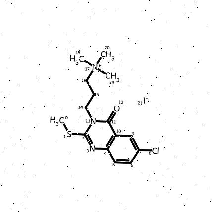 CSc1nc2ccc(Cl)cc2c(=O)n1CCC[N+](C)(C)C.[I-]